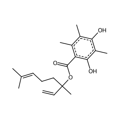 C=CC(C)(CCC=C(C)C)OC(=O)c1c(C)c(C)c(O)c(C)c1O